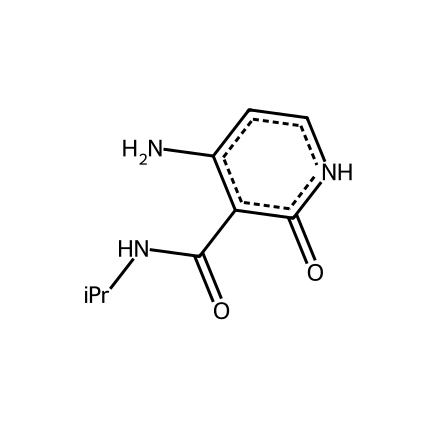 CC(C)NC(=O)c1c(N)cc[nH]c1=O